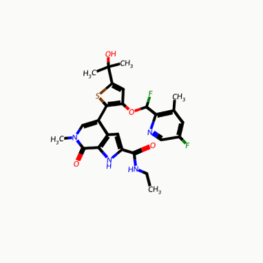 CCNC(=O)c1cc2c(-c3sc(C(C)(C)O)cc3OC(F)c3ncc(F)cc3C)cn(C)c(=O)c2[nH]1